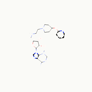 CCCN1CN(C)C(N)c2ncn(C3O[C@H](CN(C)CCN4CCC(Oc5ccccn5)CC4)[C@@H](O)[C@H]3O)c21